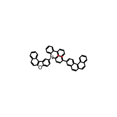 c1ccc(-c2ccccc2N(c2ccc(-c3ccc4c(ccc5ccc6ccccc6c54)c3)cc2)c2ccc3oc4ccc5ccccc5c4c3c2)cc1